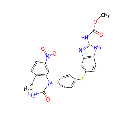 COC(=O)Nc1nc2cc(Sc3ccc(N(C(N)=O)c4cc([N+](=O)[O-])ccc4C)cc3)ccc2[nH]1